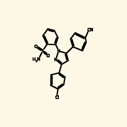 N#Cc1ccc(-c2cc(-c3ccc(Cl)cc3)nn2-c2ccccc2S(N)(=O)=O)cc1